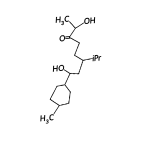 CC1CCC(C(O)CC(CCC(=O)C(C)O)C(C)C)CC1